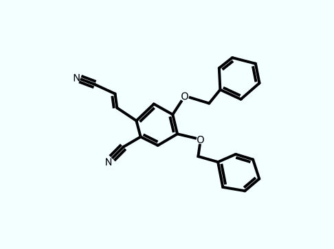 N#CC=Cc1cc(OCc2ccccc2)c(OCc2ccccc2)cc1C#N